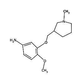 COc1ccc(N)cc1OCC1CCCN(C)C1